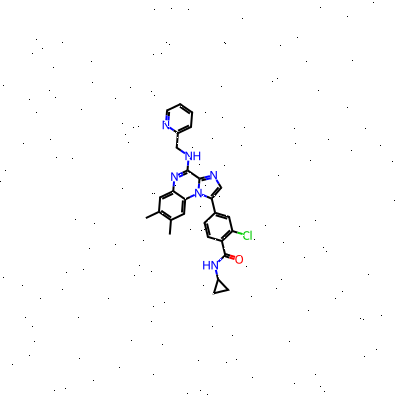 Cc1cc2nc(NCc3ccccn3)c3ncc(-c4ccc(C(=O)NC5CC5)c(Cl)c4)n3c2cc1C